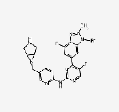 Cc1nc2c(F)cc(-c3nc(Nc4ccc(CN5C6CNCC65)cn4)ncc3F)cc2n1C(C)C